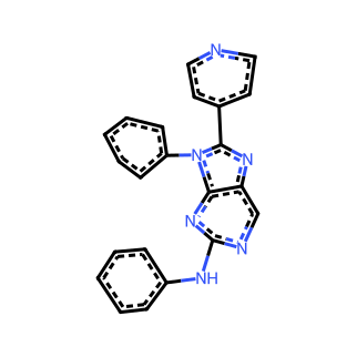 c1ccc(Nc2ncc3nc(-c4ccncc4)n(-c4ccccc4)c3n2)cc1